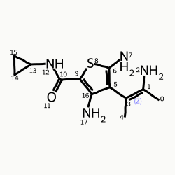 C/C(N)=C(\C)c1c(N)sc(C(=O)NC2CC2)c1N